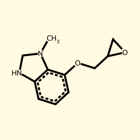 CN1CNc2cccc(OCC3CO3)c21